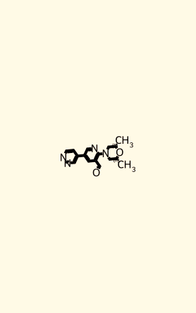 C[C@@H]1CN(c2ncc(-c3ccnnc3)cc2C=O)C[C@H](C)O1